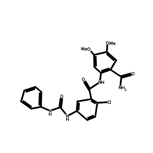 COc1cc(NC(=O)c2cc(NC(=O)Nc3ccccc3)ccc2Cl)c(C(N)=O)cc1OC